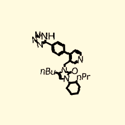 CCCCc1cn(C2CCCCC2CCC)c(=O)n1Cc1cnccc1-c1ccc(-c2nnn[nH]2)cc1